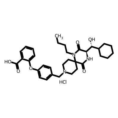 CCCCN1C(=O)[C@@H]([C@H](O)C2CCCCC2)NC(=O)C12CCN(Cc1ccc(Oc3ccccc3C(=O)O)cc1)CC2.Cl